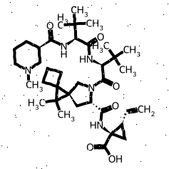 C=C[C@@H]1C[C@]1(NC(=O)[C@@H]1C[C@@]2(CN1C(=O)[C@@H](NC(=O)[C@@H](NC(=O)[C@@H]1CCCN(C)C1)C(C)(C)C)C(C)(C)C)C(C)(C)C21CCC1)C(=O)O